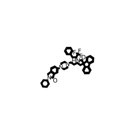 O=C1c2cc(N3CCN(CCCCC4(C(=O)NC(Cc5ccccc5)C(F)(F)F)c5ccccc5-c5ccccc54)CC3)ccc2CN1C1CCCCC1